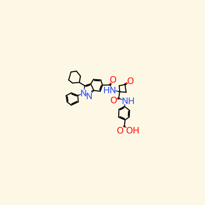 O=C1CC(NC(=O)c2ccc3c(C4CCCCC4)n(-c4ccccc4)nc3c2)(C(=O)Nc2ccc(C(=O)O)cc2)C1